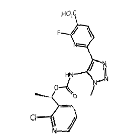 C[C@@H](OC(=O)Nc1c(-c2ccc(C(=O)O)c(F)n2)nnn1C)c1cccnc1Cl